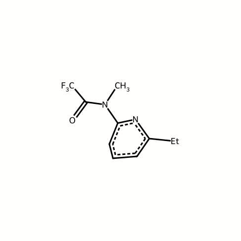 CCc1cccc(N(C)C(=O)C(F)(F)F)n1